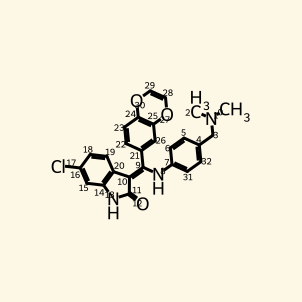 CN(C)Cc1ccc(N/C(=C2\C(=O)Nc3cc(Cl)ccc32)c2ccc3c(c2)OC=CO3)cc1